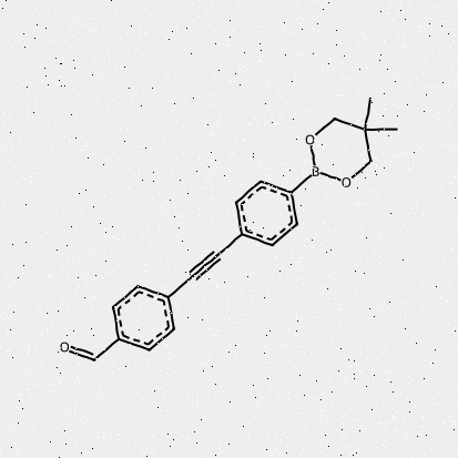 CC1(C)COB(c2ccc(C#Cc3ccc(C=O)cc3)cc2)OC1